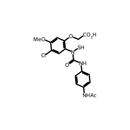 COc1cc(OCC(=O)O)c(N(S)C(=O)Nc2ccc(NC(C)=O)cc2)cc1Cl